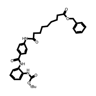 CC(C)(C)OC(=O)Nc1ccccc1NC(=O)c1ccc(NC(=O)CCCCCCCC(=O)OCc2ccccc2)cc1